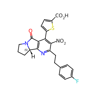 O=C(O)c1ccc(-c2c3c(nc(CCc4ccc(F)cc4)c2[N+](=O)[O-])[C@@H]2CCCN2C3=O)s1